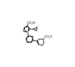 CCOC(=O)c1cnn(-c2cccc(C3=CCCN(C(=O)O)C3)c2)c1C1CC1